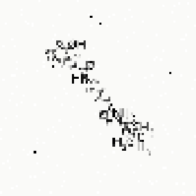 CC(C)(C)OC(=O)NNC(=O)CCCCCNC(=O)CCc1ccccc1O